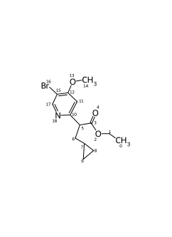 CCOC(=O)C(CC1CC1)c1cc(OC)c(Br)cn1